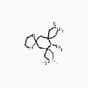 CCC1(CC)CC2(CC(CC)(CC)P1C)OCCO2